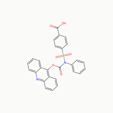 O=C(O)c1ccc(S(=O)(=O)N(C(=O)Oc2c3ccccc3nc3ccccc23)c2ccccc2)cc1